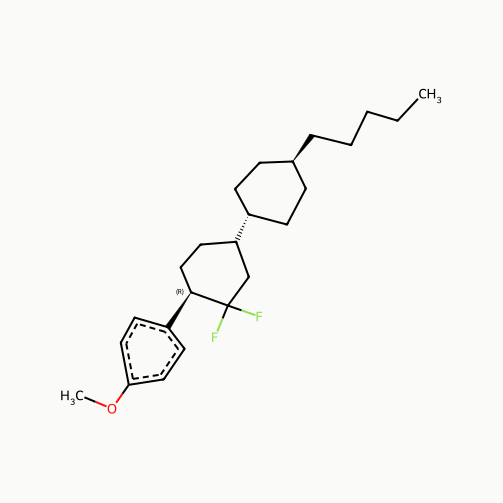 CCCCC[C@H]1CC[C@H](C2CC[C@H](c3ccc(OC)cc3)C(F)(F)C2)CC1